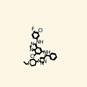 CCN1CCC(n2cc([C@@H](Nc3cc(Cl)c4ncnc(Nc5ccc(F)c(Cl)c5)c4c3)c3ccccc3)nn2)CC1